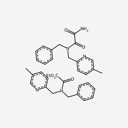 CCOC(=O)C(=O)N(Cc1ccccc1)Cc1ccc(C)cn1.Cc1ccc(CN(Cc2ccccc2)C(=O)C(N)=O)nc1